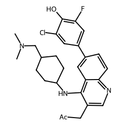 CC(=O)Cc1cnc2ccc(-c3cc(F)c(O)c(Cl)c3)cc2c1NC1CCC(CN(C)C)CC1